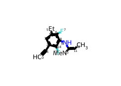 C#Cc1cc(CC)c(F)c(N/C(=C\C)NC)c1F